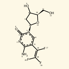 Nc1nc(=O)n([C@H]2CC(O)[C@@H](CO)O2)cc1C(F)=C(F)F